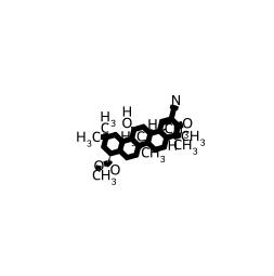 COC(=O)[C@@H]1CC(C)(C)CC2C1CC[C@]1(C)C2[C@H](O)C[C@@H]2[C@@]3(C)C=C(C#N)C(=O)C(C)(C)[C@@H]3CC[C@]21C